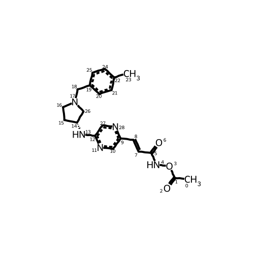 CC(=O)ONC(=O)/C=C/c1cnc(N[C@@H]2CCN(Cc3ccc(C)cc3)C2)cn1